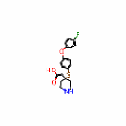 O=C(O)CC1(Sc2ccc(Oc3ccc(F)cc3)cc2)CCNCC1